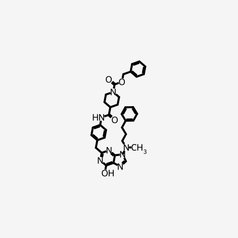 CN(CCCc1ccccc1)n1cnc2c(O)nc(Cc3ccc(NC(=O)C4CCN(C(=O)OCc5ccccc5)CC4)cc3)nc21